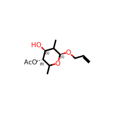 C=CCO[C@H]1OC(C)[C@H](OC(C)=O)[C@@H](O)C1C